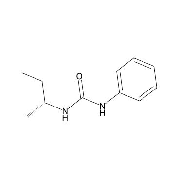 CC[C@@H](C)NC(=O)Nc1ccccc1